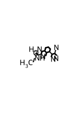 CCCNC(=O)c1ncc2c(-c3cnncc3C#N)cccc2c1N